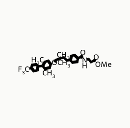 COC(=O)CCNC(=O)c1ccc(CCC(C)(C)COc2cc(C)c(-c3ccc(C(F)(F)F)cc3)c(C)c2)cc1